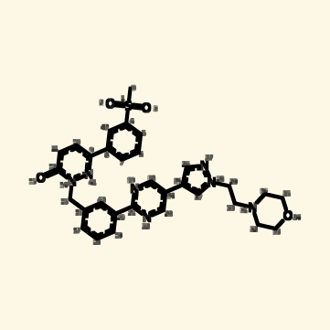 CS(=O)(=O)c1cccc(-c2ccc(=O)n(Cc3cccc(-c4ncc(-c5cnn(CCN6CCOCC6)c5)cn4)c3)n2)c1